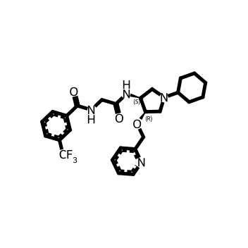 O=C(CNC(=O)c1cccc(C(F)(F)F)c1)N[C@H]1CN(C2CCCCC2)C[C@H]1OCc1ccccn1